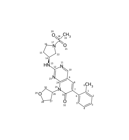 Cc1ccccc1-c1cc2cnc(N[C@H]3CCN(S(C)(=O)=O)C3)nc2n(C2CCOC2)c1=O